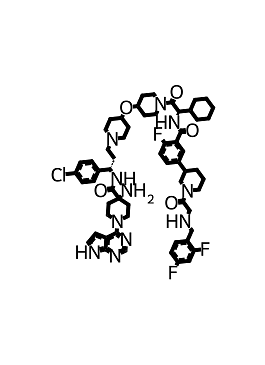 NC1(C(=O)N[C@@H](CCN2CCC(OC3CCN(C(=O)[C@H](NC(=O)c4cc(C5CCCN(C(=O)CNCc6ccc(F)cc6F)C5)ccc4F)C4CCCCC4)CC3)CC2)c2ccc(Cl)cc2)CCN(c2ncnc3[nH]ccc23)CC1